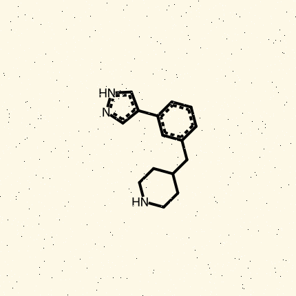 c1cc(CC2CCNCC2)cc(-c2cn[nH]c2)c1